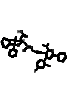 Cc1cc(F)ccc1-c1cc(-c2ccccc2)nc(C(C)C)c1C#CCO[PH](=O)C[C@H](CC(=O)O)O[Si](c1ccccc1)(c1ccccc1)C(C)(C)C